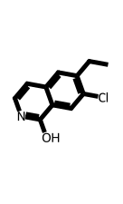 CCc1cc2ccnc(O)c2cc1Cl